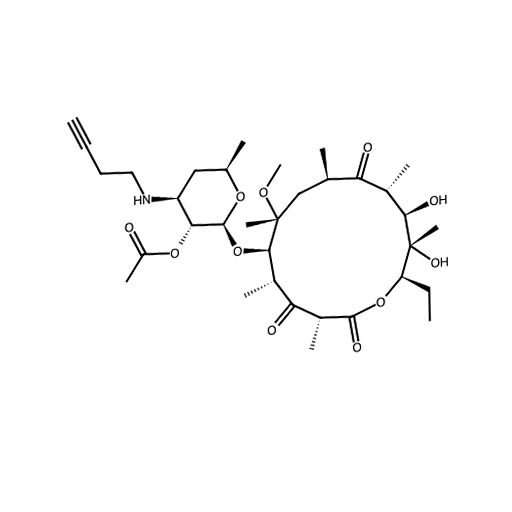 C#CCCN[C@H]1C[C@@H](C)O[C@@H](O[C@@H]2[C@@H](C)C(=O)[C@@H](C)C(=O)O[C@H](CC)[C@@](C)(O)[C@H](O)[C@@H](C)C(=O)[C@H](C)C[C@@]2(C)OC)[C@@H]1OC(C)=O